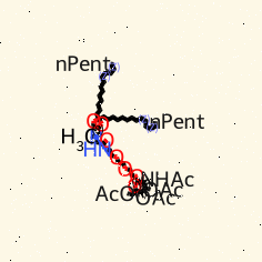 CCCCC/C=C\C/C=C\CCCCCCCCC1(CCCCCCCC/C=C\C/C=C\CCCCC)OC[C@H](CN(C)CC(=O)NCCOCCOCCO[C@@H]2OC(COC(C)=O)[C@H](OC(C)=O)C(OC(C)=O)[C@@H]2NC(C)=O)O1